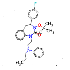 CCCN(CCN1C(=O)N(OC(C)(C)C)C(c2ccc(F)cc2)Cc2ccccc21)c1ccccc1